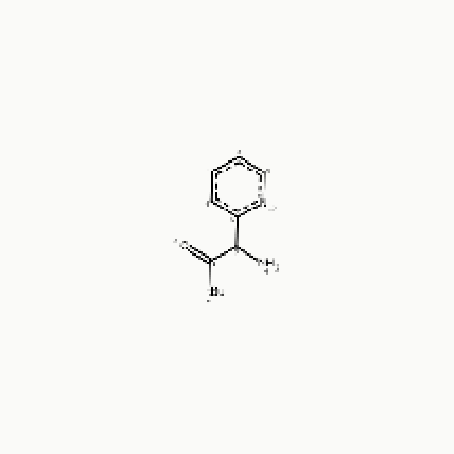 CC(C)(C)C(=O)C(N)c1ccccn1